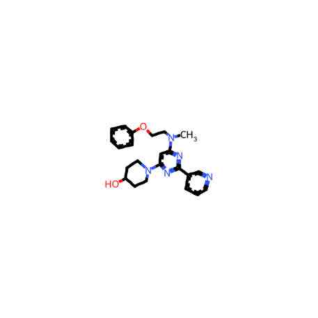 CN(CCOc1ccccc1)c1cc(N2CCC(O)CC2)nc(-c2cccnc2)n1